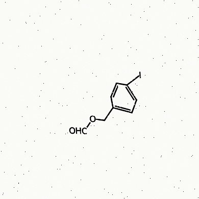 O=COCc1ccc(I)cc1